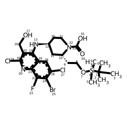 CC(C)(C)[Si](C)(C)OCC[C@@H]1C[C@@H](Nc2c(CO)c(Cl)nc3c(F)c(Br)c(Cl)cc23)CCN1C(=O)O